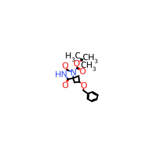 CC(C)(C)OC(=O)N1C(=O)NC(=O)C12CC(OCc1ccccc1)C2